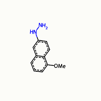 COc1cccc2cc(NN)ccc12